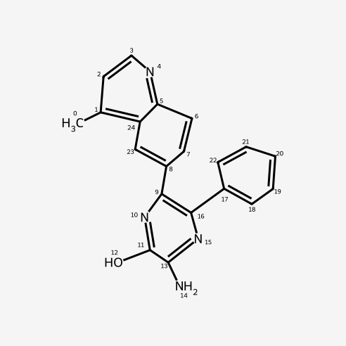 Cc1ccnc2ccc(-c3nc(O)c(N)nc3-c3ccccc3)cc12